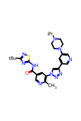 Cc1ncc(C(=O)Nc2nc(C(C)(C)C)ns2)cc1-n1cc(-c2cncc(N3CCN(C(C)C)CC3)c2)nn1